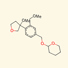 COCc1cc(COC2CCCCO2)ccc1C1(OC)CCOC1